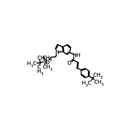 CC(C)(C)c1ccc(/C=C/C(=O)Nc2ccc3ccn(CCO[Si](C)(C)C(C)(C)C)c3c2)cc1